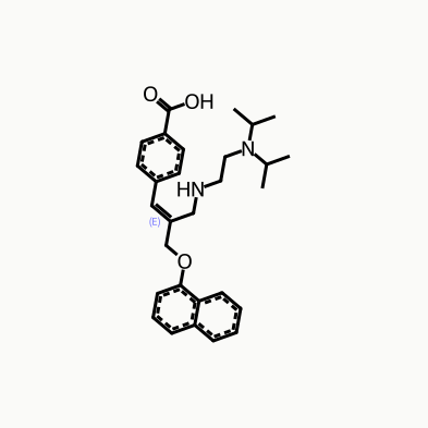 CC(C)N(CCNC/C(=C\c1ccc(C(=O)O)cc1)COc1cccc2ccccc12)C(C)C